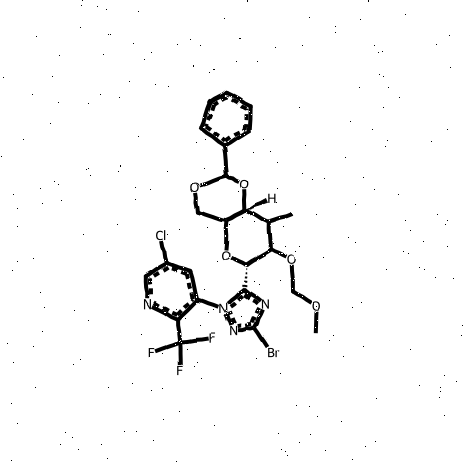 COCOC1C(C)[C@H]2OC(c3ccccc3)OCC2O[C@H]1c1nc(Br)nn1-c1cc(Cl)cnc1C(F)(F)F